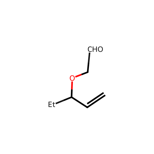 C=CC(CC)OCC=O